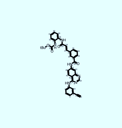 C#Cc1cccc(Nc2ncnc3cc(NC(=O)c4cccc(C=CC(=O)Nc5ccccc5NC(=O)OC(C)(C)C)c4)ccc23)c1